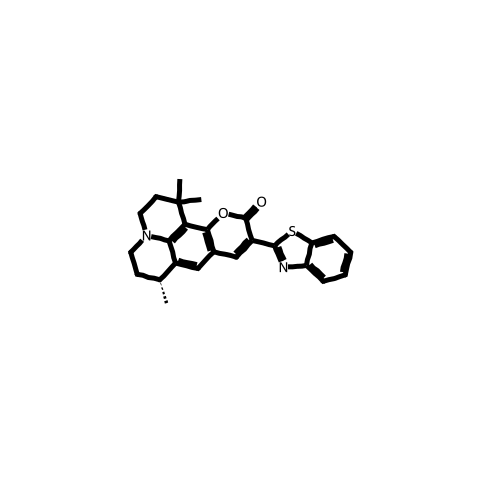 C[C@@H]1CCN2CCC(C)(C)c3c2c1cc1cc(-c2nc4ccccc4s2)c(=O)oc31